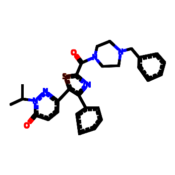 CC(C)n1nc(-c2sc(C(=O)N3CCN(Cc4ccccc4)CC3)nc2-c2ccccc2)ccc1=O